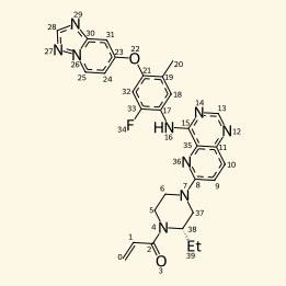 C=CC(=O)N1CCN(c2ccc3ncnc(Nc4cc(C)c(Oc5ccn6ncnc6c5)cc4F)c3n2)C[C@@H]1CC